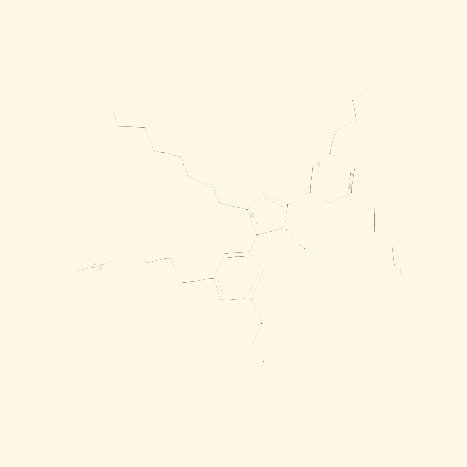 CCCCCCCCC1=C(c2cc(CCCC)cc(CCCC)c2)[N+](=[N-])C(c2cc(CCCC)cc(CCCC)c2)=C1.[CH3][Ni][CH3]